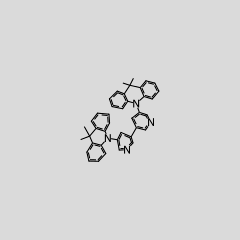 CC1(C)c2ccccc2N(c2cncc(-c3cncc(N4c5ccccc5C(C)(C)c5ccccc54)c3)c2)c2ccccc21